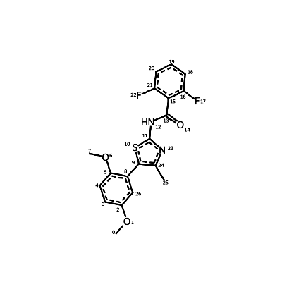 COc1ccc(OC)c(-c2sc(NC(=O)c3c(F)cccc3F)nc2C)c1